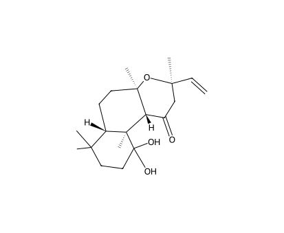 C=C[C@@]1(C)CC(=O)[C@@H]2[C@]3(C)[C@@H](CC[C@@]2(C)O1)C(C)(C)CCC3(O)O